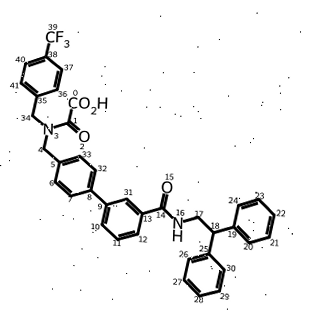 O=C(O)C(=O)N(Cc1ccc(-c2cccc(C(=O)NCC(c3ccccc3)c3ccccc3)c2)cc1)Cc1ccc(C(F)(F)F)cc1